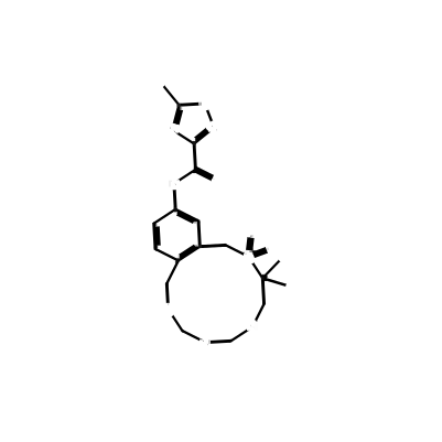 Cc1nc(C(=O)Nc2ccc3c(c2)CS(=O)(=O)C(C)(C)CNCNCOC3)no1